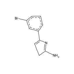 NC1=NC(c2cccc(Br)c2)=CC1